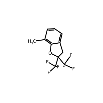 Cc1cccc2c1OC(C(F)(F)F)(C(F)(F)F)C2